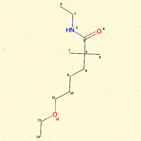 CCNC(=O)C(C)(C)CCCCOCC